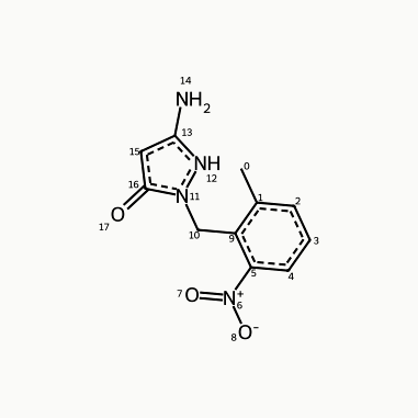 Cc1cccc([N+](=O)[O-])c1Cn1[nH]c(N)cc1=O